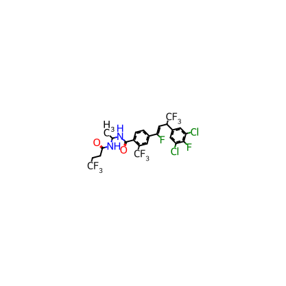 CC(NC(=O)CCC(F)(F)F)NC(=O)c1ccc(/C(F)=C/C(c2cc(Cl)c(F)c(Cl)c2)C(F)(F)F)cc1C(F)(F)F